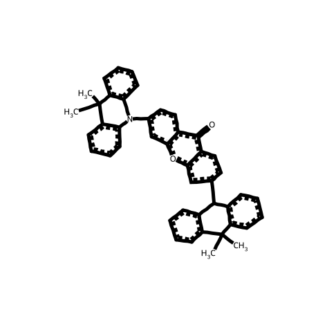 CC1(C)c2ccccc2C(c2ccc3c(=O)c4ccc(N5c6ccccc6C(C)(C)c6ccccc65)cc4oc3c2)c2ccccc21